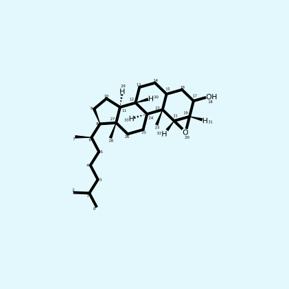 CC(C)CCC[C@@H](C)[C@H]1CC[C@H]2[C@@H]3CCC4CC(O)[C@@H]5O[C@@H]5[C@]4(C)[C@H]3CC[C@]12C